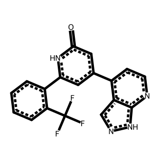 O=c1cc(-c2ccnc3[nH]ncc23)cc(-c2ccccc2C(F)(F)F)[nH]1